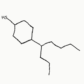 CCCCC(CCC)C1CCC(S)CC1